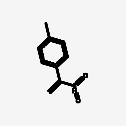 C=C(c1ccc(C)cc1)[SH](=O)=O